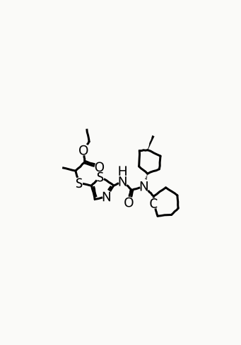 CCOC(=O)C(C)Sc1cnc(NC(=O)N(C2CCCCCC2)[C@H]2CC[C@H](C)CC2)s1